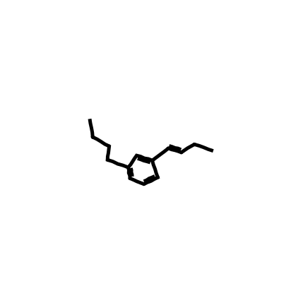 CCC=Cc1cccc(CCCC)c1